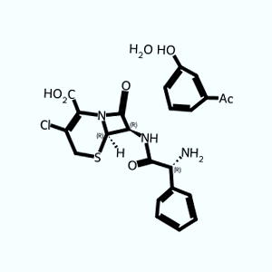 CC(=O)c1cccc(O)c1.N[C@@H](C(=O)N[C@@H]1C(=O)N2C(C(=O)O)=C(Cl)CS[C@H]12)c1ccccc1.O